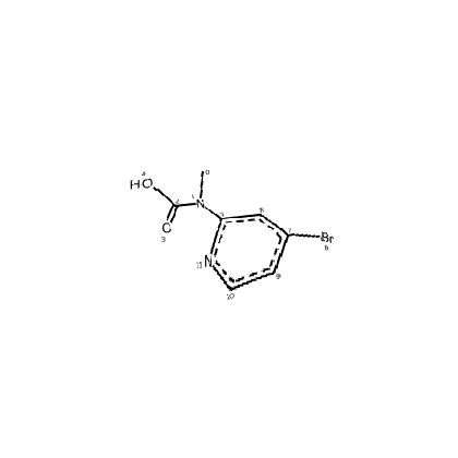 CN(C(=O)O)c1cc(Br)ccn1